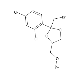 CC(C)OCC1COC(CBr)(c2ccc(Cl)cc2Cl)O1